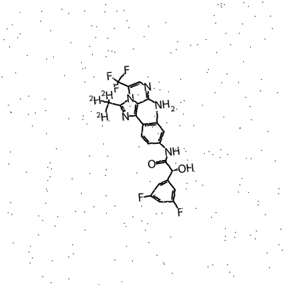 [2H]C([2H])([2H])c1nc(-c2ccc(NC(=O)[C@@H](O)c3cc(F)cc(F)c3)cc2C)c2c(N)ncc(C(F)(F)F)n12